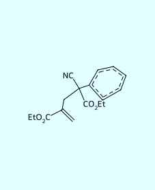 C=C(CC(C#N)(C(=O)OCC)c1ccccc1)C(=O)OCC